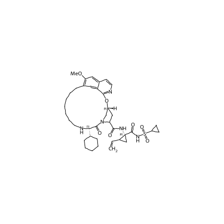 C=CC1C[C@]1(NC(=O)C1C[C@@H]2CN1C(=O)[C@H](C1CCCCC1)NCCCCCCCc1cc3c(nccc3cc1OC)O2)C(=O)NS(=O)(=O)C1CC1